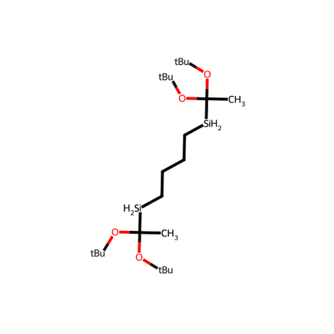 CC(C)(C)OC(C)(OC(C)(C)C)[SiH2]CCCC[SiH2]C(C)(OC(C)(C)C)OC(C)(C)C